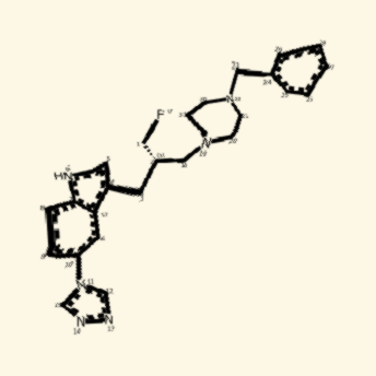 FC[C@@H](Cc1c[nH]c2ccc(-n3cnnc3)cc12)CN1CCN(Cc2ccccc2)CC1